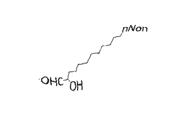 CCCCCCCCCCCCCCCCCCCC(O)[C]=O